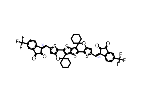 O=C1C(=O)c2cc(C(F)(F)F)ccc2/C1=C/c1cc2c(s1)-c1sc3c4c(sc3c1C1(CCCCC1)O2)-c1sc(/C=C2\C(=O)C(=O)c3cc(C(F)(F)F)ccc32)cc1OC41CCCCC1